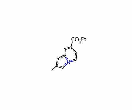 CCOC(=O)c1ccn2cc(C)cc2c1